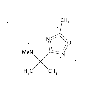 CNC(C)(C)c1noc(C)n1